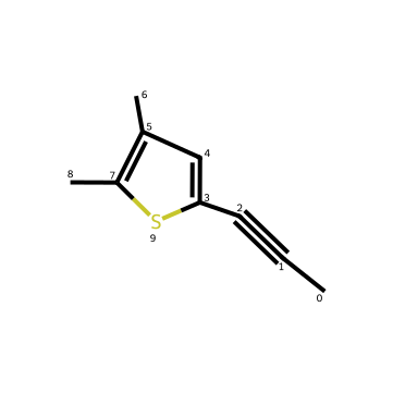 CC#Cc1cc(C)c(C)s1